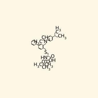 CCC(CC)c1ccc(N(Cc2cc(-c3ccccc3)ccc2CSC[C@H](NC(=O)OC(C)(C)C)C(=O)O)C(C)C)cc1